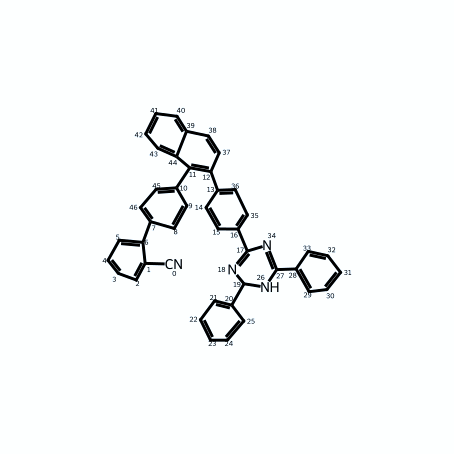 N#Cc1ccccc1-c1ccc(-c2c(-c3ccc(C4=NC(c5ccccc5)NC(c5ccccc5)=N4)cc3)ccc3ccccc23)cc1